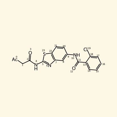 CC(=O)CC(=O)Nc1nc2cc(NC(=O)c3ccccc3Cl)ccc2s1